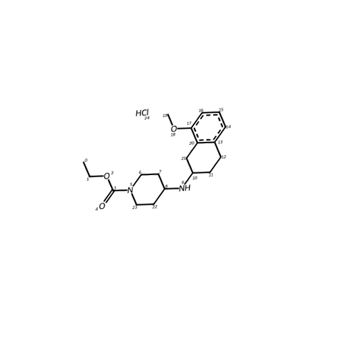 CCOC(=O)N1CCC(NC2CCc3cccc(OC)c3C2)CC1.Cl